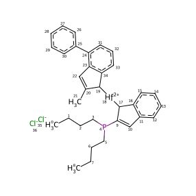 CCCCP(CCCC)C1=Cc2ccccc2[CH]1[Hf+2][CH]1C(C)=Cc2c(-c3ccccc3)cccc21.[Cl-].[Cl-]